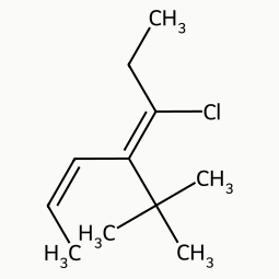 C/C=C\C(=C(\Cl)CC)C(C)(C)C